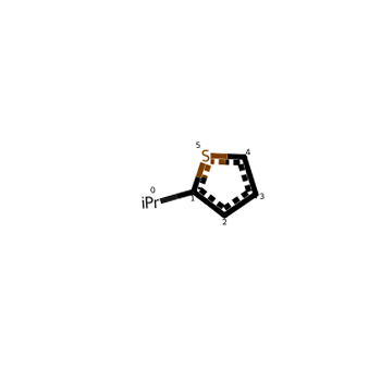 CC(C)c1c[c]cs1